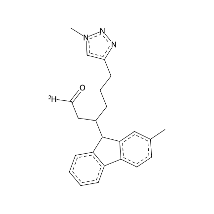 [2H]C(=O)CC(CCCc1cn(C)nn1)C1c2ccccc2-c2ccc(C)cc21